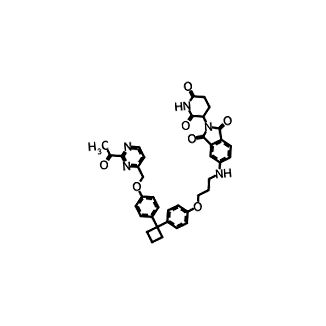 CC(=O)c1nccc(COc2ccc(C3(c4ccc(OCCCNc5ccc6c(c5)C(=O)N(C5CCC(=O)NC5=O)C6=O)cc4)CCC3)cc2)n1